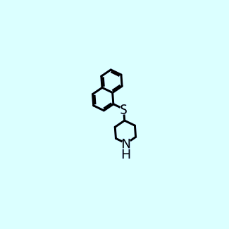 c1ccc2c(SC3CCNCC3)cccc2c1